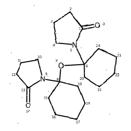 O=C1CCCN1C1(OC2(N3CCCC3=O)CCCCC2)CCCCC1